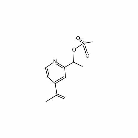 C=C(C)c1ccnc(C(C)OS(C)(=O)=O)c1